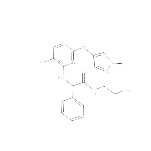 Cn1cc(Nc2ncc(Cl)c(NC(C(=O)NCCO)c3ccccc3)n2)cn1